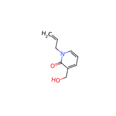 C=CCn1cccc(CO)c1=O